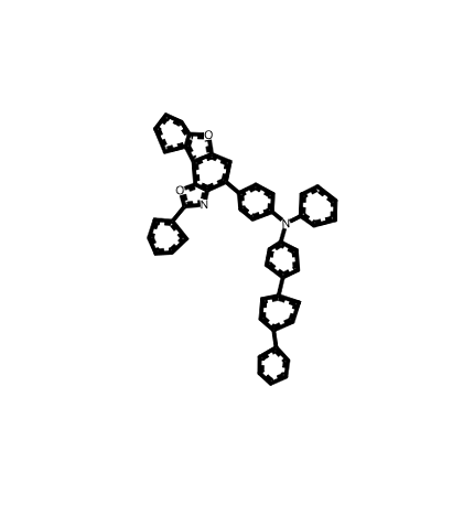 c1ccc(-c2ccc(-c3ccc(N(c4ccccc4)c4ccc(-c5cc6oc7ccccc7c6c6oc(-c7ccccc7)nc56)cc4)cc3)cc2)cc1